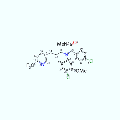 CNC(=O)C(c1ccc(Cl)cc1)N(CCCc1ccc(C(F)(F)F)nc1)c1ccc(Cl)c(OC)c1